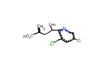 C=C(CC(OC(C)=O)c1ncc(Cl)cc1Cl)C(=O)O